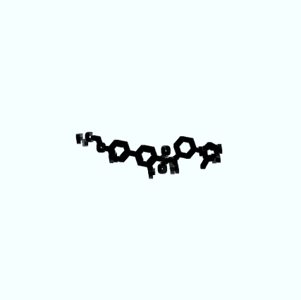 Cc1nncn1[C@@H]1CCC[C@H](NS(=O)(=O)c2ccc(-c3ccc(OCC(F)(F)F)nc3)cc2F)C1